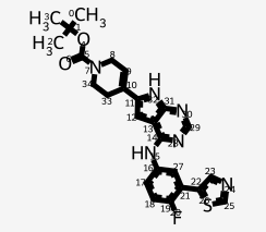 CC(C)(C)OC(=O)N1CC=C(c2cc3c(Nc4ccc(F)c(-c5cncs5)c4)ncnc3[nH]2)CC1